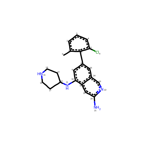 Cc1cccc(Cl)c1-c1cc(NC2CCNCC2)c2cc(N)ncc2c1